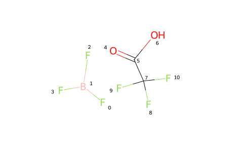 FB(F)F.O=C(O)C(F)(F)F